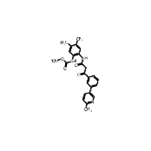 Cc1ccc(-c2cccc(C(=O)CC(=O)Nc3cc(C(F)(F)F)c(C)cc3NC(=O)OC(C)(C)C)c2)cn1